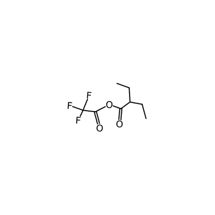 CCC(CC)C(=O)OC(=O)C(F)(F)F